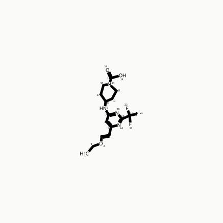 CCOC=Cc1cc(NC2CCN(C(=O)O)CC2)nc(C(F)(F)F)n1